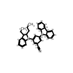 CCCC1C(CC)C2=C(C=C=C=C2)N1c1cc(C#N)cc(-n2c3ccccc3c3ccccc32)c1